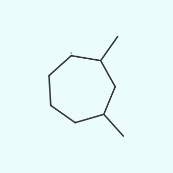 CC1[CH]CCCC(C)C1